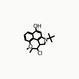 CCC(Cl)C1CN(C(C)(C)C)c2cc(O)c3cccc(OC)c3c21